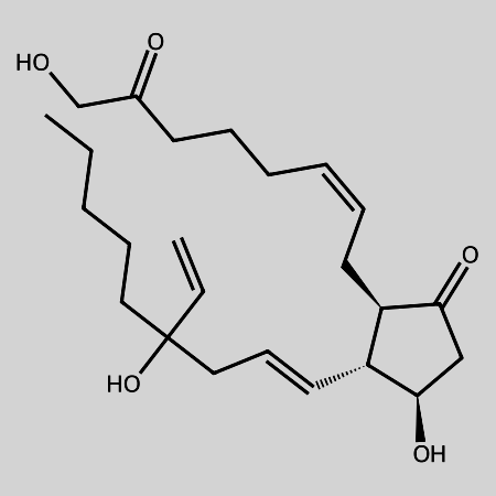 C=CC(O)(C/C=C/[C@H]1[C@H](O)CC(=O)[C@@H]1C/C=C\CCCC(=O)CO)CCCCC